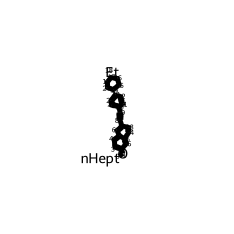 CCCCCCCOc1ccc2cc(C#Cc3ccc([C@H]4CC[C@H](CC)CC4)cc3)ccc2c1